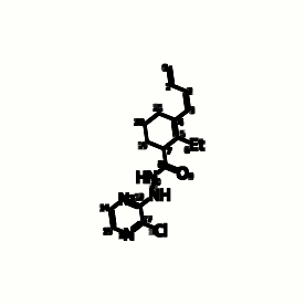 C=C/C=C\C1=C(CC)C(C(=O)NNc2nccnc2Cl)CCC1